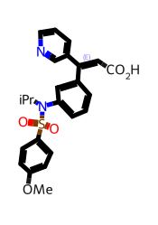 COc1ccc(S(=O)(=O)N(c2cccc(/C(=C\C(=O)O)c3cccnc3)c2)C(C)C)cc1